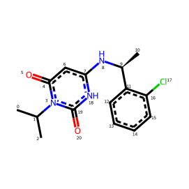 CC(C)n1c(=O)cc(N[C@@H](C)c2ccccc2Cl)[nH]c1=O